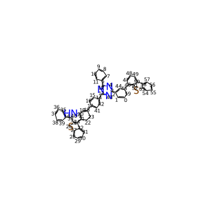 C1=CC(c2nc(-c3ccccc3)nc(-c3ccc(C4=CC5=C(CC4)c4c(sc6ccccc46)C(c4ccccc4)N5)cc3)n2)=CC(c2cccc3c2sc2ccccc23)C1